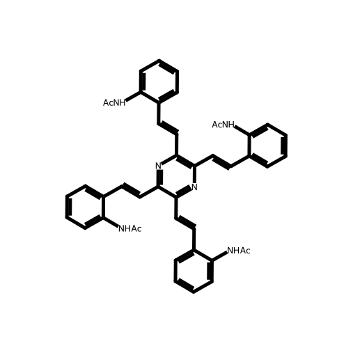 CC(=O)Nc1ccccc1C=Cc1nc(C=Cc2ccccc2NC(C)=O)c(C=Cc2ccccc2NC(C)=O)nc1C=Cc1ccccc1NC(C)=O